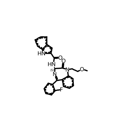 COCCN1C(=O)[C@@H](NC(=O)c2cc3ccccc3[nH]2)N=C(c2ccccc2F)c2ccccc21